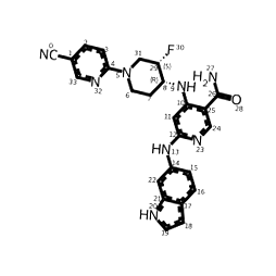 N#Cc1ccc(N2CC[C@@H](Nc3cc(Nc4ccc5cc[nH]c5c4)ncc3C(N)=O)[C@@H](F)C2)nc1